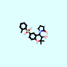 Cc1ccccc1S(=O)(=O)c1ccc2c(c1)C(N1CCCC1=O)C(O)C(C)(C)O2